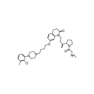 C=C(CCN1C(=O)CCc2ccc(OCCCCN3CCN(c4cccc(C)c4Cl)CC3)cc21)C1CCCN1C(=O)CN